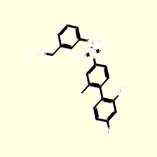 Cc1cc(S(=O)(=O)Nc2cccc(CO)c2)ccc1-c1ccc(F)cc1F